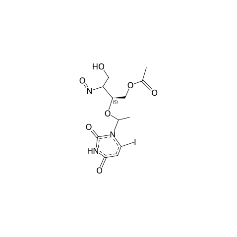 CC(=O)OC[C@@H](OC(C)n1c(I)cc(=O)[nH]c1=O)C(CO)N=O